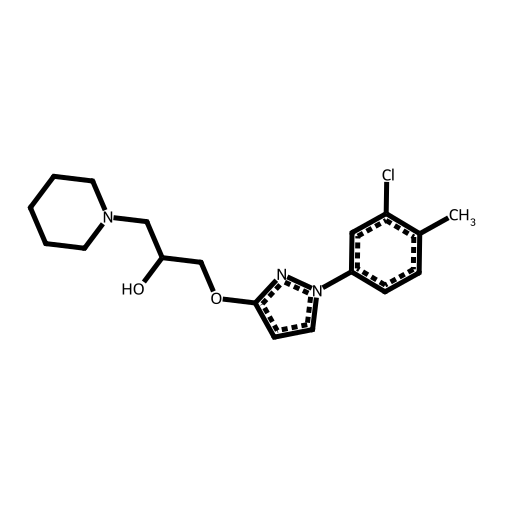 Cc1ccc(-n2ccc(OCC(O)CN3CCCCC3)n2)cc1Cl